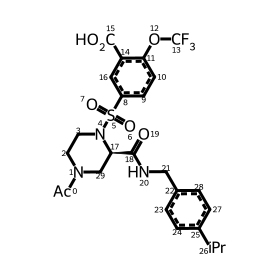 CC(=O)N1CCN(S(=O)(=O)c2ccc(OC(F)(F)F)c(C(=O)O)c2)[C@@H](C(=O)NCc2ccc(C(C)C)cc2)C1